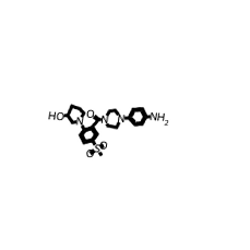 CS(=O)(=O)c1ccc(N2CCCC(O)C2)c(C(=O)N2CCN(c3ccc(N)cc3)CC2)c1